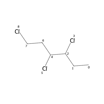 CCC(Cl)C(Cl)CCCl